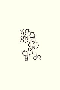 COCC(NC(=O)OC(C)(C)C)C(=O)N[C@@]1(Cc2ccc(Cl)cc2)CCCN(C(=O)C(CC(=O)OC)Cc2cccc[n+]2[O-])C1